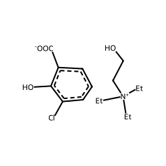 CC[N+](CC)(CC)CCO.O=C([O-])c1cccc(Cl)c1O